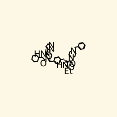 CCC(=O)N[C@H](Cc1ccc(CNC(=O)C(NC(=O)c2ccnn2C)C2CCCCC2)cc1)C(=O)N1CCN(Cc2ccccc2)CC1